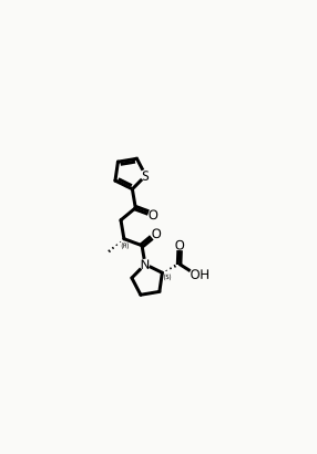 C[C@H](CC(=O)c1cccs1)C(=O)N1CCC[C@H]1C(=O)O